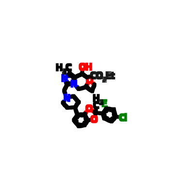 CCOC(=O)CC(O)c1c(C)nc(CN2CCC(c3cccc4c3OC(C)(c3ccc(Cl)cc3F)O4)CC2)n1CC1CCO1